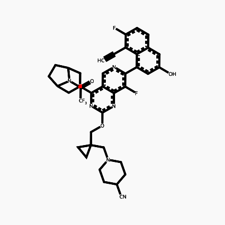 C#Cc1c(F)ccc2cc(O)cc(-c3ncc4c(N5CC6CCC(C5)N6C(=O)C(F)(F)F)nc(OCC5(CN6CCC(C#N)CC6)CC5)nc4c3F)c12